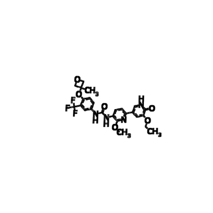 CCOc1cc(-c2ccc(NC(=O)Nc3ccc(OC4(C)COC4)c(C(F)(F)F)c3)c(OC)n2)c[nH]c1=O